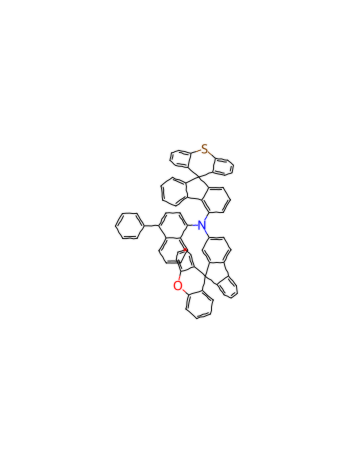 c1ccc(-c2ccc(N(c3ccc4c(c3)C3(c5ccccc5Oc5ccccc53)c3ccccc3-4)c3cccc4c3-c3ccccc3C43c4ccccc4Sc4ccccc43)c3ccccc23)cc1